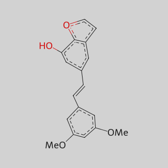 COc1cc(C=Cc2cc(O)c3occc3c2)cc(OC)c1